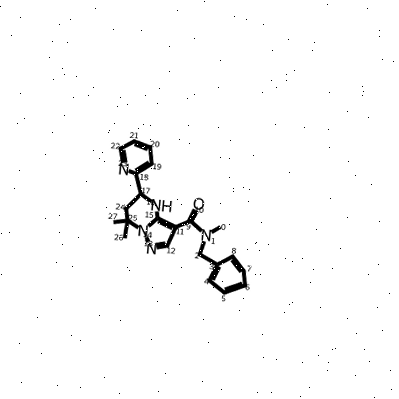 CN(Cc1ccccc1)C(=O)c1cnn2c1NC(c1ccccn1)CC2(C)C